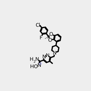 Cc1cc(/C(N)=N/O)nnc1CN1CCC(c2cccc3c2O[C@@](C)(c2ccc(Cl)cc2F)O3)CC1